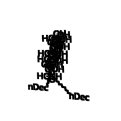 CCCCCCCCCCCCC/C=C/[C@@H](O)[C@H](CO[C@@H]1OC(CO)[C@@H](O[C@@H]2OC(CO)[C@H](O[C@@H]3OC(CO)[C@H](O)[C@H](O[C@H]4OC(CO)[C@H](O)[C@H](O[C@H]5OC(CO)[C@H](O)[C@H](O)C5O)C4O)C3O)[C@H](O)C2O)[C@H](O)C1O)NC(=O)CCCCCCCCCCCCCCCCCCCCC